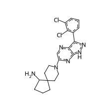 NC1CCCC12CCN(c1cnc3c(-c4cccc(Cl)c4Cl)n[nH]c3n1)CC2